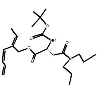 C=C/C=C\C(=C/C)COC(=O)[C@@H](CC(=O)N(CCC)CCC)NC(=O)OC(C)(C)C